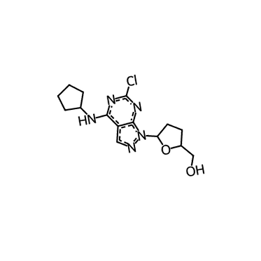 OCC1CCC(n2ncc3c(NC4CCCC4)nc(Cl)nc32)O1